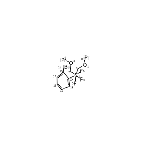 CC(C)OCS(F)(F)(F)(COC(C)C)c1ccccc1C(C)(C)C